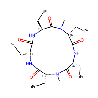 CC(C)C[C@@H]1NC(=O)[C@@H](CC(C)C)NC(=O)[C@@H](CC(C)C)N(C)C(=O)[C@@H](CC(C)C)NC(=O)[C@@H](CC(C)C)N(C)C1=O